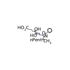 CCCCC[C@H](C)c1nc(-c2ccccc2)oc1/C=C/[C@@H](O)[C@@H](O)CCCC(=O)O